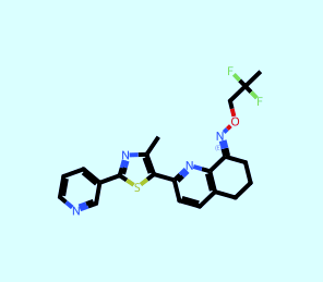 Cc1nc(-c2cccnc2)sc1-c1ccc2c(n1)/C(=N/OCC(C)(F)F)CCC2